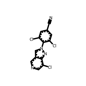 N#Cc1cc(Cl)c(-n2cc3cncc(Cl)c3n2)c(Cl)c1